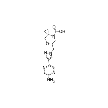 Nc1cnc(-c2cnn(CC3CN(C(=O)O)C4(CC4)CO3)c2)cn1